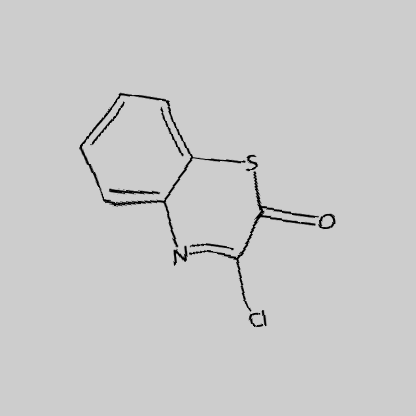 O=c1sc2ccccc2nc1Cl